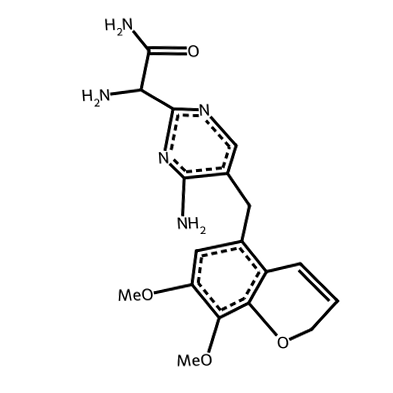 COc1cc(Cc2cnc(C(N)C(N)=O)nc2N)c2c(c1OC)OCC=C2